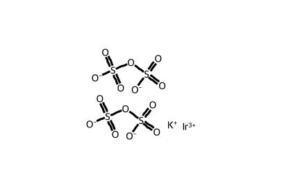 O=S(=O)([O-])OS(=O)(=O)[O-].O=S(=O)([O-])OS(=O)(=O)[O-].[Ir+3].[K+]